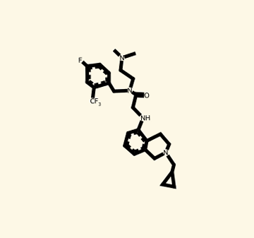 CN(C)CCN(Cc1ccc(F)cc1C(F)(F)F)C(=O)CNc1cccc2c1CCN(CC1CC1)C2